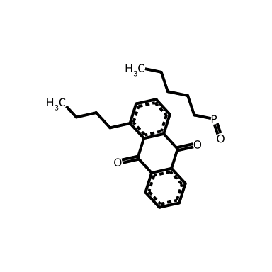 CCCCCP=O.CCCCc1cccc2c1C(=O)c1ccccc1C2=O